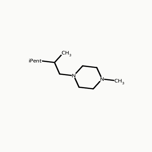 CCCC(C)C(C)CN1CCN(C)CC1